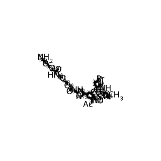 CC(=O)c1nn(CC(=O)N2C3C[C@]3(C)C[C@H]2C(=O)Nc2nc(Br)ccc2C)c2c(C)cc(-c3cnc(CNC(=O)COCCOCCNC(=O)COCCOCCN)nc3)cc12